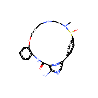 CN1CCNCCCOc2ccccc2NC(=O)c2nc(cnc2N)-c2ccc(cc2)[S+]1[O-]